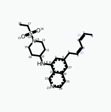 C/C=C\C=C/Cc1cc(NC2CCN(S(=O)(=O)CC)CC2)c2cnccc2c1